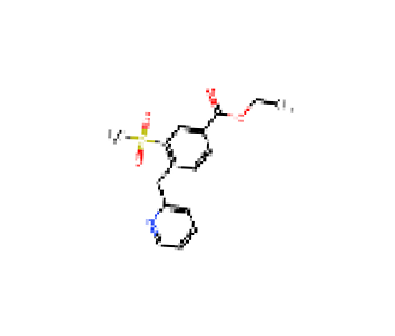 CCOC(=O)c1ccc(Cc2ccccn2)c(S(C)(=O)=O)c1